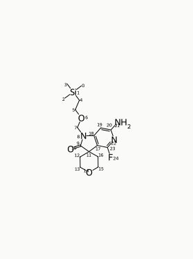 C[Si](C)(C)CCOCN1C(=O)C2(CCOCC2)c2c1cc(N)nc2F